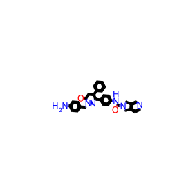 Nc1ccc(CN2N=C(c3ccc(NC(=O)N4Cc5ccncc5C4)cc3)C(c3ccccc3)CC2=O)cc1